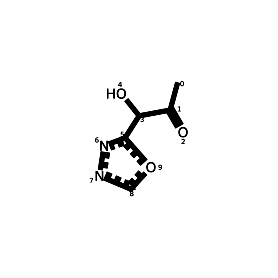 CC(=O)C(O)c1nn[c]o1